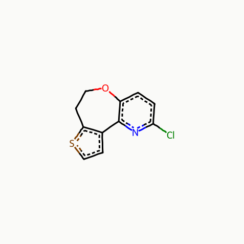 Clc1ccc2c(n1)-c1ccsc1CCO2